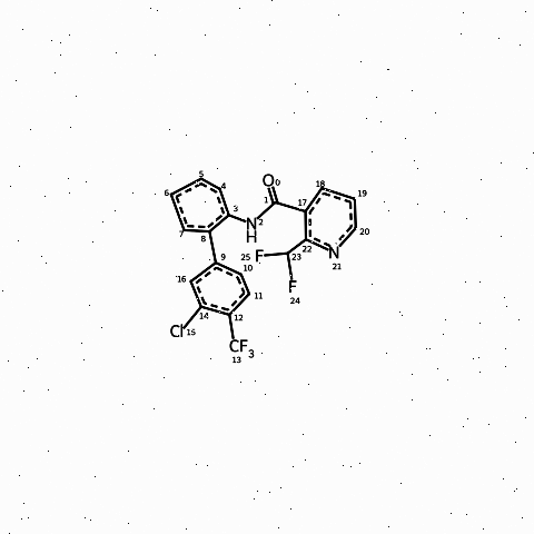 O=C(Nc1ccccc1-c1ccc(C(F)(F)F)c(Cl)c1)c1cccnc1C(F)F